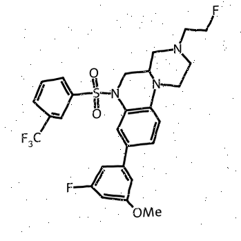 COc1cc(F)cc(-c2ccc3c(c2)N(S(=O)(=O)c2cccc(C(F)(F)F)c2)CC2CN(CCF)CCN32)c1